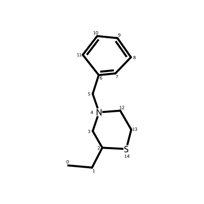 CCC1CN(Cc2ccccc2)CCS1